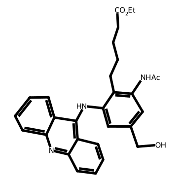 CCOC(=O)CCCCc1c(NC(C)=O)cc(CO)cc1Nc1c2ccccc2nc2ccccc12